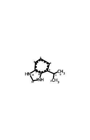 CC(C)c1cccc2c1NCN2